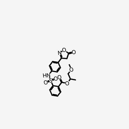 COCC(C)OC(=O)c1ccccc1S(=O)(=O)Nc1ccc(C2=NOC(=O)C2)cc1